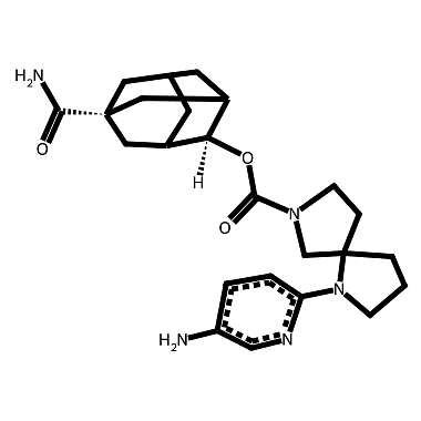 Nc1ccc(N2CCCC23CCN(C(=O)O[C@H]2C4CC5CC2C[C@](C(N)=O)(C5)C4)C3)nc1